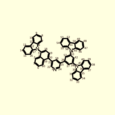 c1ccc2c(-n3c4ccccc4c4ccccc43)ccc(-c3cncc(-c4cc(-n5c6ccccc6c6ccccc65)cc(-n5c6ccccc6c6ccccc65)c4)c3)c2c1